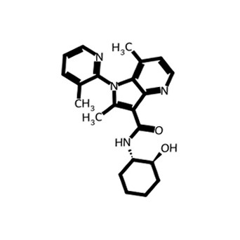 Cc1cccnc1-n1c(C)c(C(=O)N[C@H]2CCCC[C@@H]2O)c2nccc(C)c21